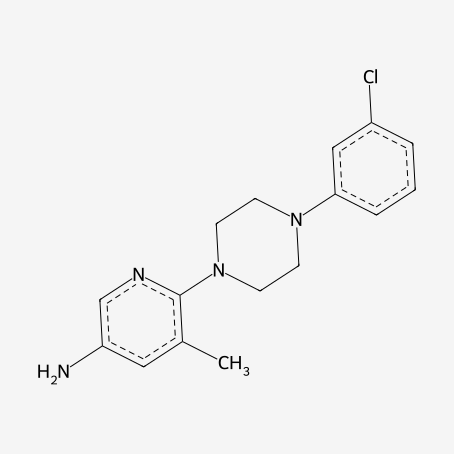 Cc1cc(N)cnc1N1CCN(c2cccc(Cl)c2)CC1